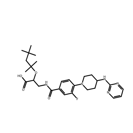 CC(C)(C)CC(C)(C)OC(CNC(=O)c1ccc(N2CCC(Nc3ncccn3)CC2)c(F)c1)C(=O)O